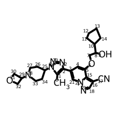 Cc1c(-c2cc(OCC(O)C3CCCC3)c3c(C#N)cnn3c2)nnn1C1CCN(C2COC2)CC1